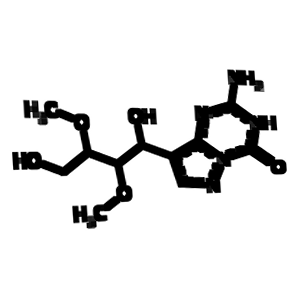 COC(CO)C(OC)C(O)c1cnn2c(=O)[nH]c(N)nc12